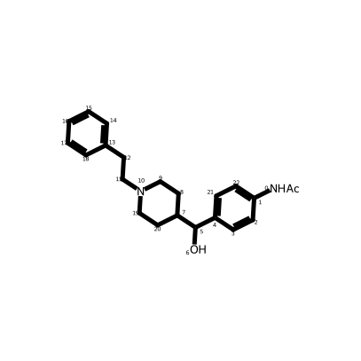 CC(=O)Nc1ccc(C(O)C2CCN(CCc3ccccc3)CC2)cc1